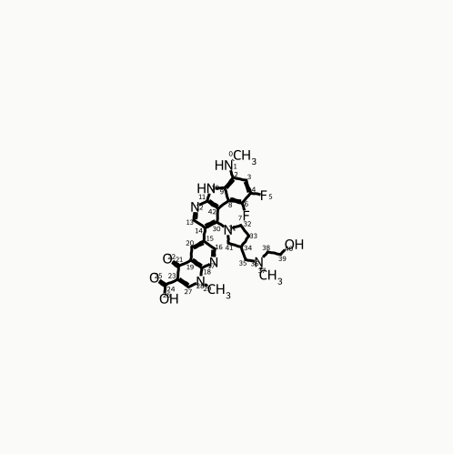 CNc1cc(F)c(F)c2c1[nH]c1ncc(-c3cnc4c(c3)c(=O)c(C(=O)O)cn4C)c(N3CCC(CN(C)CCO)C3)c12